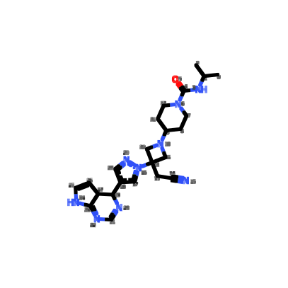 CC(C)NC(=O)N1CCC(N2CC(CC#N)(n3cc(C4N=CN=C5NC=CC54)cn3)C2)CC1